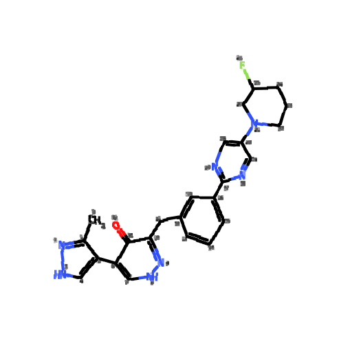 Cc1n[nH]cc1-c1c[nH]nc(Cc2cccc(-c3ncc(N4CCCC(F)C4)cn3)c2)c1=O